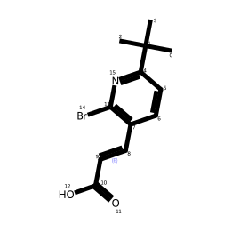 CC(C)(C)c1ccc(/C=C/C(=O)O)c(Br)n1